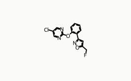 FCc1cc(-c2ccccc2Oc2ncc(Cl)cn2)no1